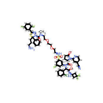 CN(CCOCCOCCNS(=O)(=O)c1cc(F)cc(N(C(=O)[C@@H]2CCC(=O)N2c2cc(C#N)ccn2)C(C(=O)NC2CC(F)(F)C2)c2ccccc2Cl)c1)C(=O)N1N=C(c2cc(F)ccc2F)SC1(CCCN)c1ccccc1